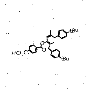 CC(=CC(OC(=O)c1ccc(C(=O)O)cc1)=C(C)Cc1ccc(C(C)(C)C)cc1)Cc1ccc(C(C)(C)C)cc1